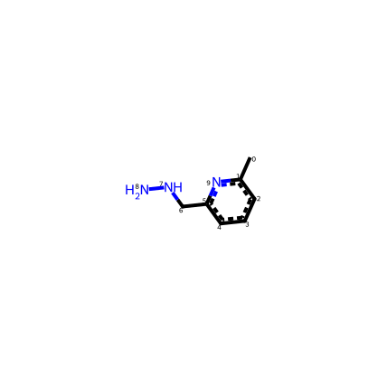 Cc1cccc(CNN)n1